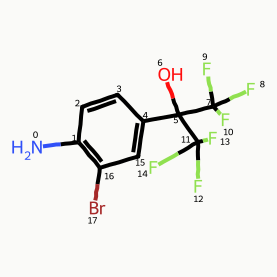 Nc1ccc(C(O)(C(F)(F)F)C(F)(F)F)cc1Br